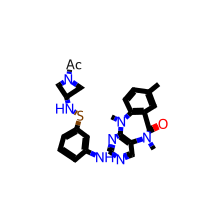 CC(=O)N1CC(NSc2cccc(Nc3ncc4c(n3)N(C)c3ccc(C)cc3C(=O)N4C)c2)C1